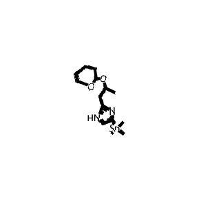 CC(Cc1n[c]([Sn]([CH3])([CH3])[CH3])c[nH]1)OC1CCCCO1